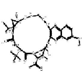 COc1ccc2nc3c(nc2c1)O[C@H]1CN(C(=O)[C@H](C(C)(C)C)NC(=O)O[C@]2(C(C)C)C[C@H]2CCCCC3)[C@H](C(C)=O)[C@@H]1C